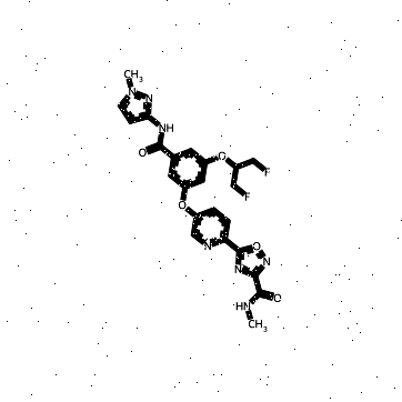 CNC(=O)c1noc(-c2ccc(Oc3cc(OC(CF)CF)cc(C(=O)Nc4ccn(C)n4)c3)cn2)n1